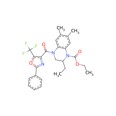 CCOC(=O)N1c2cc(C)c(C)cc2N(C(=O)c2nc(-c3ccccc3)oc2C(F)(F)F)CC1CC